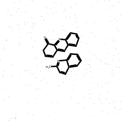 Cc1ccc2ccccc2n1.O=C1CC=Cc2cc3ccccc3nc21